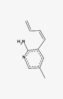 C=C/C=C\c1cc(C)cnc1N